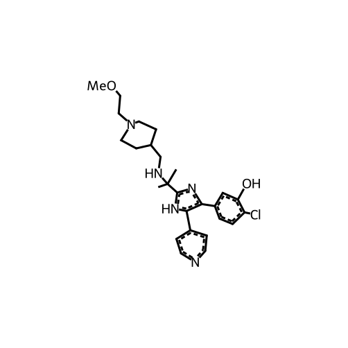 COCCN1CCC(CNC(C)(C)c2nc(-c3ccc(Cl)c(O)c3)c(-c3ccncc3)[nH]2)CC1